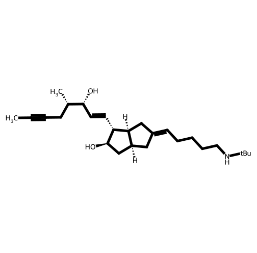 CC#CC[C@H](C)[C@H](O)/C=C/[C@@H]1[C@H]2C/C(=C/CCCCNC(C)(C)C)C[C@H]2C[C@H]1O